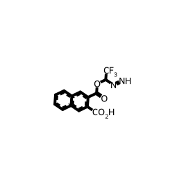 N=NC(OC(=O)c1cc2ccccc2cc1C(=O)O)C(F)(F)F